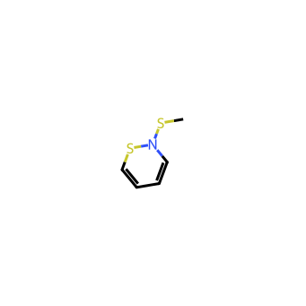 CSN1C=CC=CS1